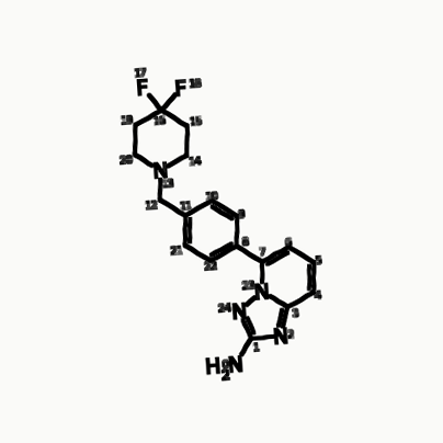 Nc1nc2cccc(-c3ccc(CN4CCC(F)(F)CC4)cc3)n2n1